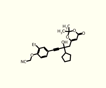 CCc1cc(C#CC(O)(CC2=CC(=O)OC(C)(C)O2)C2CCCC2)ccc1OCC#N